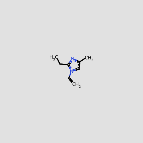 C=Cn1cc(C)nc1CC